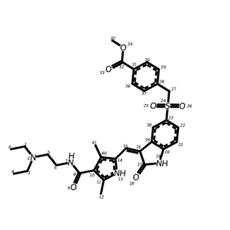 CCN(CC)CCNC(=O)c1c(C)[nH]c(/C=C2\C(=O)Nc3ccc(S(=O)(=O)Cc4ccc(C(=O)OC)cc4)cc32)c1C